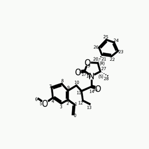 C=Cc1cc(OC)ccc1CC(CC)C(=O)N1C(=O)O[C@H](c2ccccc2)[C@@H]1C